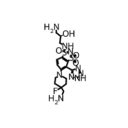 NC[C@@H](O)CNS1(=O)=NS(=O)(=O)c2c1ccc(N1CCC(F)(CN)CC1)c2-c1nn[nH]n1